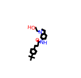 CC(C)(C)c1ccc(C=CC(=O)Nc2ccc3ccn(CCO)c3c2)cc1